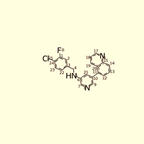 Fc1cc(CNc2cncc(-c3cccc4ncccc34)c2)ccc1Cl